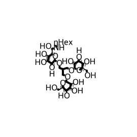 CCCCCCNC(O)[C@H]1OC(OCC(COC2O[C@H](CO)[C@H](O)[C@H](O)[C@H]2O)COC2O[C@H](CO)[C@H](O)[C@H](O)[C@H]2O)[C@H](O)[C@@H](O)[C@H]1O